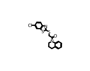 O=C(CSc1nc2ccc(Cl)cc2s1)N1CCCc2ccccc21